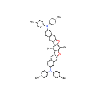 CC(C)c1c2oc3cc4cc(N(c5ccc(C(C)(C)C)cc5)c5ccc(C(C)(C)C)cc5)ccc4cc3c2c(C(C)C)c2c1oc1cc3cc(N(c4ccc(C(C)(C)C)cc4)c4ccc(C(C)(C)C)cc4)ccc3cc12